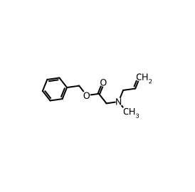 C=CCN(C)CC(=O)OCc1ccccc1